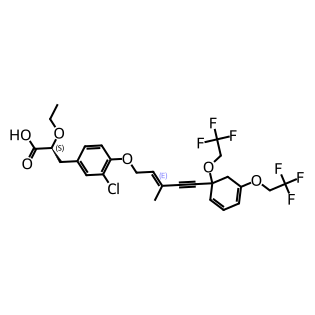 CCO[C@@H](Cc1ccc(OC/C=C(\C)C#CC2(OCC(F)(F)F)C=CC=C(OCC(F)(F)F)C2)c(Cl)c1)C(=O)O